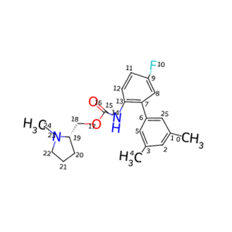 Cc1cc(C)cc(-c2cc(F)ccc2NC(=O)OC[C@@H]2CCCN2C)c1